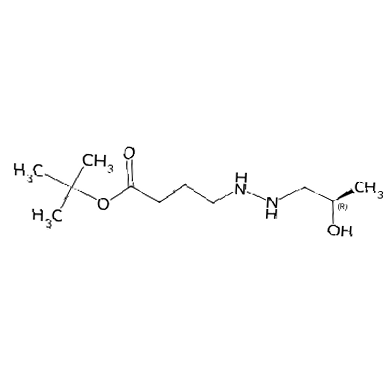 C[C@@H](O)CNNCCCC(=O)OC(C)(C)C